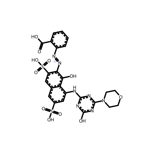 O=C(O)c1ccccc1/N=N/c1c(S(=O)(=O)O)cc2cc(S(=O)(=O)O)cc(Nc3nc(O)nc(N4CCOCC4)n3)c2c1O